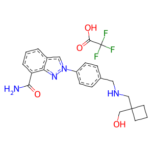 NC(=O)c1cccc2cn(-c3ccc(CNCC4(CO)CCC4)cc3)nc12.O=C(O)C(F)(F)F